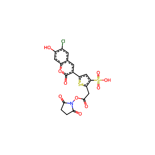 O=C(Cc1sc(-c2cc3cc(Cl)c(O)cc3oc2=O)cc1S(=O)(=O)O)ON1C(=O)CCC1=O